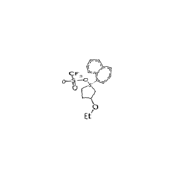 CCOC1CCS(OS(=O)(=O)C(F)(F)F)(c2cccc3ccccc23)C1